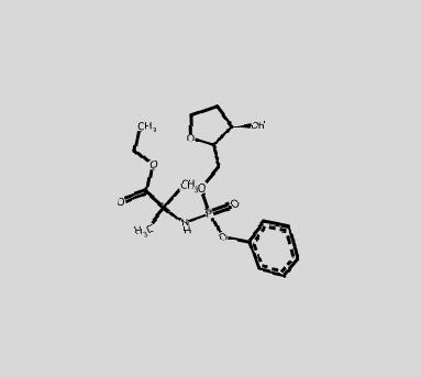 CCOC(=O)C(C)(C)NP(=O)(OCC1OCC[C@H]1O)Oc1ccccc1